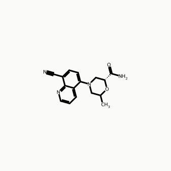 CC1CN(c2ccc(C#N)c3ncccc23)C[C@H](C(N)=O)O1